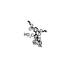 C=CCOC(=O)N1CCN(C(=O)OCC=C)C(C2=C(C(=O)O)N3C(=O)[C@H]([C@@](C)(O[SiH](C)C)C(C)(C)C)[C@H]3C2)C1